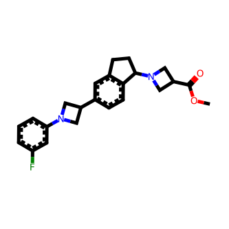 COC(=O)C1CN(C2CCc3cc(C4CN(c5cccc(F)c5)C4)ccc32)C1